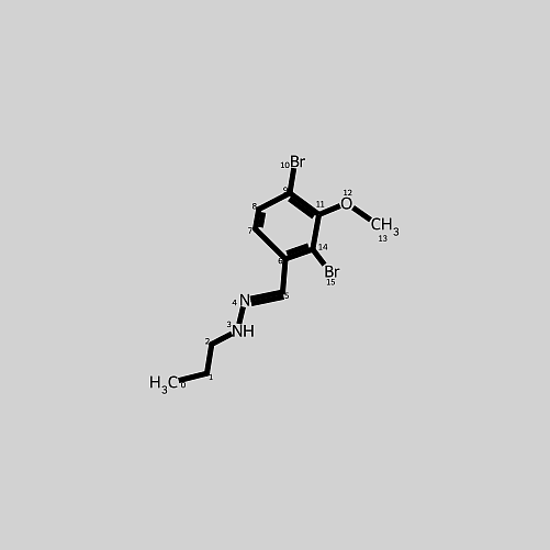 CCCN/N=C/c1ccc(Br)c(OC)c1Br